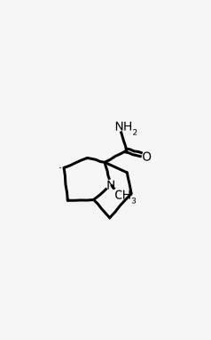 CN1C2C[CH]CC1(C(N)=O)CCC2